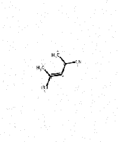 CC(=CC(C)C#N)C(C)(C)C